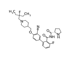 CCC(F)(CC)CN1CCC(COc2ccc(-c3cccc(F)c3C(=O)NC(=O)[C@@H]3CCCN3)cc2C#N)CC1